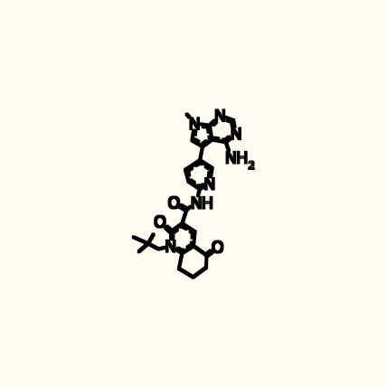 Cn1cc(-c2ccc(NC(=O)c3cc4c(n(CC(C)(C)C)c3=O)CCCC4=O)nc2)c2c(N)ncnc21